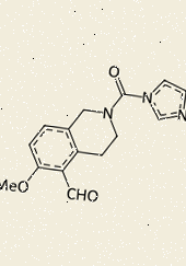 COc1ccc2c(c1C=O)CCN(C(=O)n1ccnc1)C2